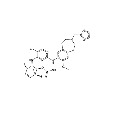 COc1cc2c(cc1Nc1ncc(Cl)c(N[C@H]3[C@@H](OC(N)=O)[C@@H]4C=C[C@H]3C4)n1)CCN(Cc1ncco1)CC2